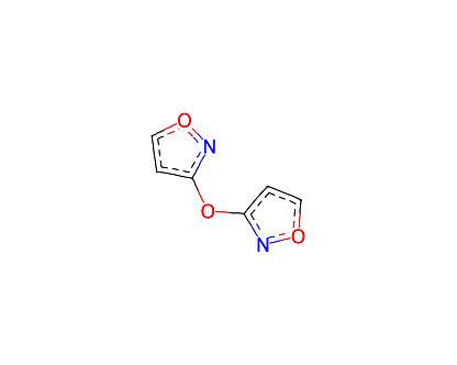 c1cc(Oc2ccon2)no1